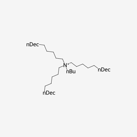 CCCCCCCCCCCCCCC[N+](CCCC)(CCCCCCCCCCCCCCC)CCCCCCCCCCCCCCC